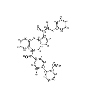 COc1ccccc1-c1ccc(C(=O)N2Cc3ccc(C(=O)N(C)Cc4cccnc4)n3Cc3ccccc32)cc1C